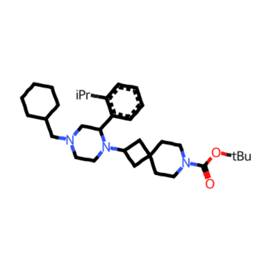 CC(C)c1ccccc1C1CN(CC2CCCCC2)CCN1C1CC2(CCN(C(=O)OC(C)(C)C)CC2)C1